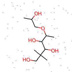 CC(O)COC(C)C(O)C(O)C(C)(C)CO